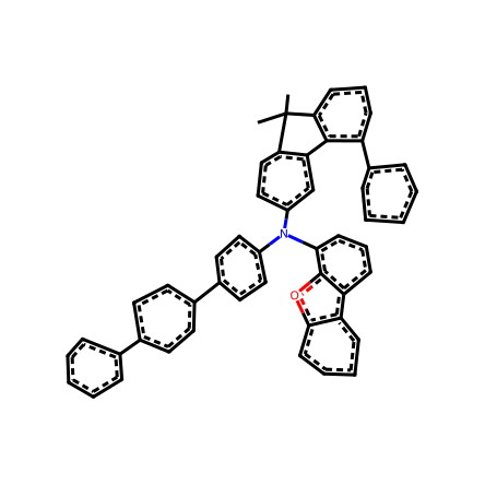 CC1(C)c2ccc(N(c3ccc(-c4ccc(-c5ccccc5)cc4)cc3)c3cccc4c3oc3ccccc34)cc2-c2c(-c3ccccc3)cccc21